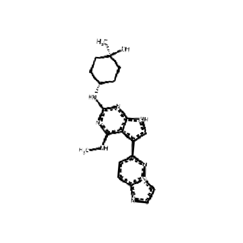 CNc1nc(N[C@H]2CC[C@](C)(O)CC2)nc2[nH]cc(-c3ccc4nccn4n3)c12